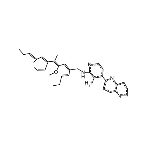 C\C=C/C(=C\C(C)=C\CC)C(/C)=C(/C=C(\C=C\CC)CNc1nccc(-c2ccc3ncccc3n2)c1P)OC